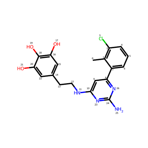 Cc1c(Cl)cccc1-c1cc(NCCc2cc(O)c(O)c(O)c2)nc(N)n1